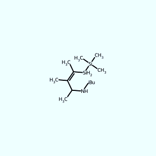 CCC(C)NC(C)C(C)=C(C)[SiH2][Si](C)(C)C